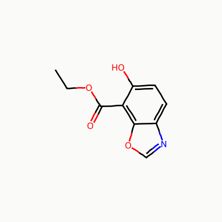 CCOC(=O)c1c(O)ccc2ncoc12